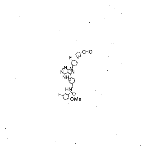 COc1ccc(F)cc1C(=O)NCc1ccc(-c2nn(-c3ccc(N4CC[C@@H](C=O)C4)c(F)c3)c3ncnc(N)c23)cc1